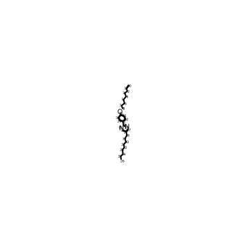 C=CCCCCCCCOc1ccc(-c2ncc(CCCCCCCCC)cn2)cc1